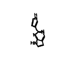 c1cc(-c2ncc3cc[nH]c3n2)c[nH]1